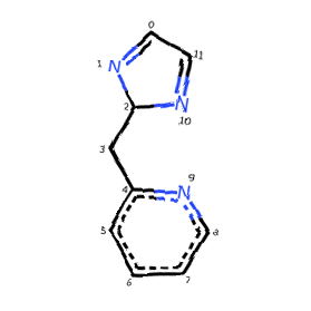 C1=NC(Cc2ccccn2)N=C1